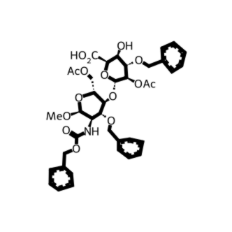 CO[C@H]1O[C@H](COC(C)=O)[C@@H](O[C@@H]2O[C@@H](C(=O)O)[C@@H](O)[C@H](OCc3ccccc3)[C@H]2OC(C)=O)[C@H](OCc2ccccc2)[C@H]1NC(=O)OCc1ccccc1